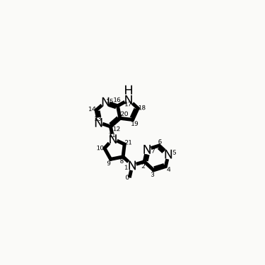 CN(c1ccncn1)C1CCN(c2ncnc3[nH]ccc23)C1